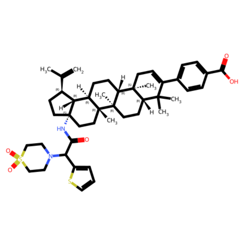 C=C(C)[C@@H]1CC[C@]2(NC(=O)C(c3cccs3)N3CCS(=O)(=O)CC3)CC[C@]3(C)[C@H](CC[C@@H]4[C@@]5(C)CC=C(c6ccc(C(=O)O)cc6)C(C)(C)[C@@H]5CC[C@]43C)[C@@H]12